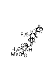 COC(=O)C(NC(=O)Cc1cn2cc(-c3ccoc3)cc(C(F)(F)F)c2n1)C(C)O